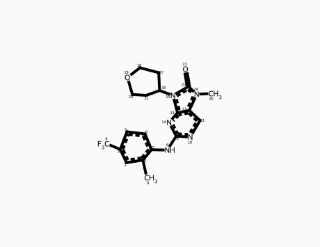 Cc1cc(C(F)(F)F)ccc1Nc1ncc2c(n1)n(C1CCOCC1)c(=O)n2C